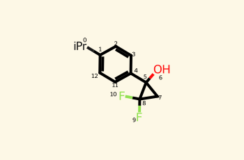 CC(C)c1ccc(C2(O)CC2(F)F)cc1